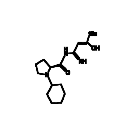 CC(C)(C)/C(O)=C/C(=N)NC(=O)[C@@H]1CCCN1C1CCCCC1